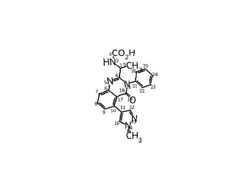 CC(NC(=O)O)c1nc2cccc(-c3cnn(C)c3)c2c(=O)n1-c1ccccc1